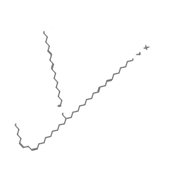 CCCCCC=CCC=CCCCCCCCC(=O)OCC(CCCCCCCCC=CCC=CCCCCCCNC(=O)OC(C)(C)C)CCCCCCCC/C=C\C/C=C\CCCCC